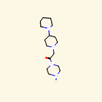 CCC(C)N1CCN(C(=O)CN2CCC(N3CCCCC3)CC2)CC1